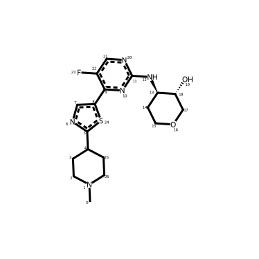 CN1CCC(c2ncc(-c3nc(N[C@@H]4CCOC[C@H]4O)ncc3F)s2)CC1